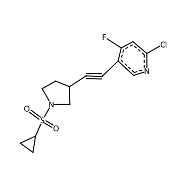 O=S(=O)(C1CC1)N1CCC(C#Cc2cnc(Cl)cc2F)C1